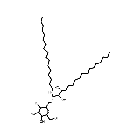 CCCCCCCCCCCCCCCCCN[C@@H](COC1OC(CO)C(O)C(O)C1O)[C@H](O)[C@H](O)CCCCCCCCCCCCCC